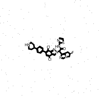 O=C(Nc1nccs1)C(c1ncn2c1C[C@@H](F)C2)n1cc2c(Cl)cc(-c3ccc(C4CCNCC4)cc3)c(Cl)c2n1